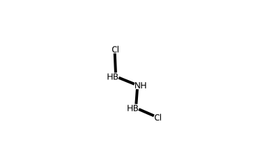 ClBNBCl